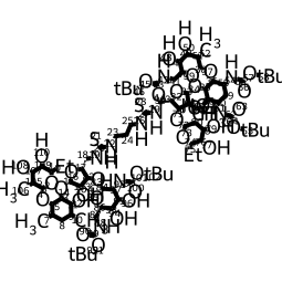 CCC1O[C@@H](OC2C(C)CC(C)[C@H](O)C2O[C@@H]2O[C@H](CNC(=S)NCCCNC(=S)NC[C@H]3O[C@@H](O[C@H]4C(O[C@H]5OC(CNC(=O)OC(C)(C)C)C(O)[C@H](O)C5C)C(NC(=O)OC(C)(C)C)C[C@@H](NC(=O)OC(C)(C)C)C4O)C(O)[C@H]3O[C@H]3O[C@@H](CC)C(O)C(O)C3C)C(O[C@@H]3O[C@H](CNC(=O)OC(C)(C)C)C(O)C(O)C3NC(=O)OC(C)(C)C)C2O)C(C)[C@@H](O)C1O